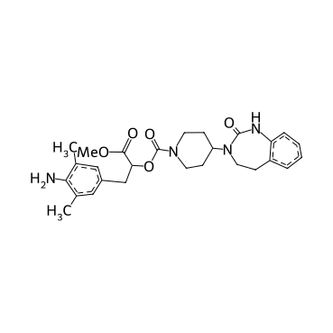 COC(=O)C(Cc1cc(C)c(N)c(C)c1)OC(=O)N1CCC(N2CCc3ccccc3NC2=O)CC1